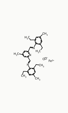 CCc1cc(C)cc(CC)c1N=Cc1cc(C)cc(C=Nc2c(CC)cc(C)cc2CC)n1.[Cl-].[Cl-].[Fe+2]